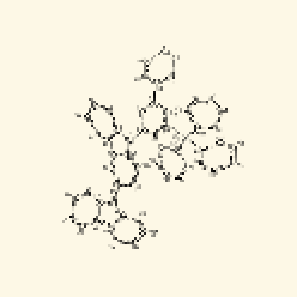 c1ccc(-c2cc(-n3c4ccccc4c4cc(-n5c6ccccc6c6ccccc65)ccc43)cc(C(c3ccccc3)(c3ccccc3)c3ccccc3)c2)cc1